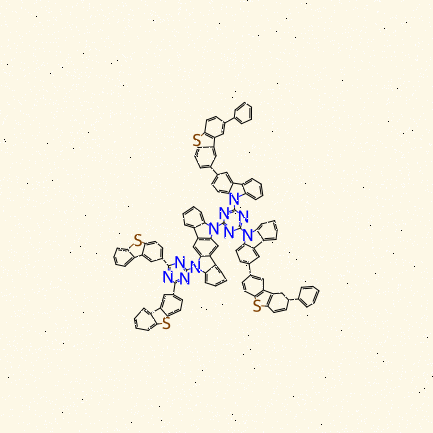 C1=CC(c2ccccc2)Cc2c1sc1ccc(-c3ccc4c(c3)c3ccccc3n4-c3nc(-n4c5ccccc5c5cc(-c6ccc7sc8ccc(-c9ccccc9)cc8c7c6)ccc54)nc(-n4c5ccccc5c5cc6c(cc54)c4ccccc4n6-c4nc(-c5ccc6sc7ccccc7c6c5)nc(-c5ccc6sc7ccccc7c6c5)n4)n3)cc21